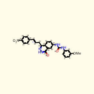 COc1cccc(NC(=O)Nc2ccc3c(C/C=C/c4ccc([N+](=O)[O-])cc4)n[nH]c(=O)c3c2)c1